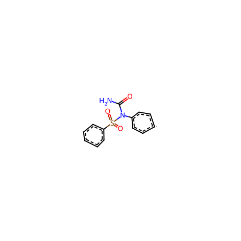 NC(=O)N(c1cc[c]cc1)S(=O)(=O)c1ccccc1